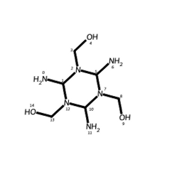 NC1N(CO)C(N)N(CO)C(N)N1CO